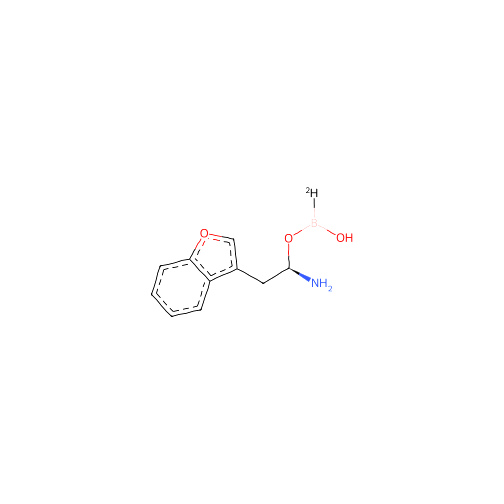 [2H]B(O)O[C@@H](N)Cc1coc2ccccc12